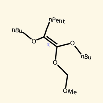 CCCCC/C(OCCCC)=C(\OCCCC)OCOC